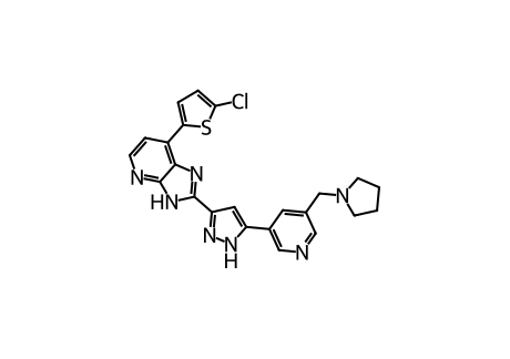 Clc1ccc(-c2ccnc3[nH]c(-c4cc(-c5cncc(CN6CCCC6)c5)[nH]n4)nc23)s1